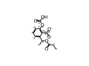 CCC(=O)OC(C)c1cccc(OC(=O)O)c1[N+](=O)[O-]